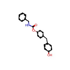 O=C(NCc1ccccc1)Oc1ccc(Cc2ccc(O)cc2)cc1